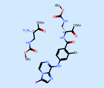 CCc1cc(Nc2nccn3c(I)cnc23)ccc1C(=O)N[C@H](CNC(=O)OC(C)(C)C)C(=O)OC.COC(=O)[C@@H](N)CNC(=O)OC(C)(C)C